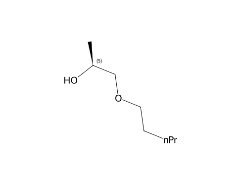 CCCCCOC[C@H](C)O